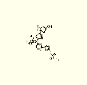 CC1(C)[C@H]2CC[C@@]1(c1ccnc(-n3cnc(CCS(C)(=O)=O)n3)n1)c1nnc(C3(F)C=CC(O)=CC3F)cc12